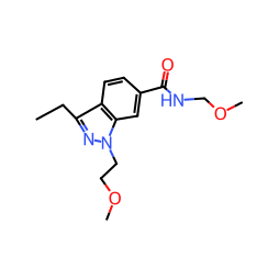 CCc1nn(CCOC)c2cc(C(=O)NCOC)ccc12